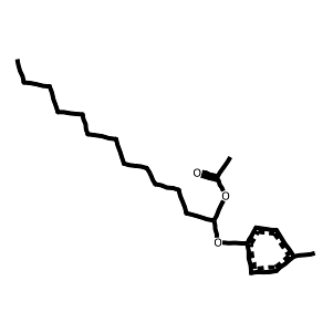 CCCCCCCCCCCCC(OC(C)=O)Oc1ccc(C)cc1